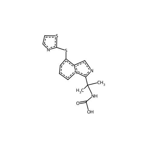 CC(C)(NC(=O)O)c1ncc2c(Sc3nccs3)cccn12